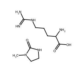 CN1CCNC1=O.N=C(N)NCCCC(N)C(=O)O